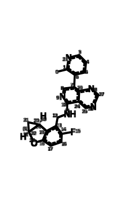 Cc1ncccc1-c1cnc(NCc2c(F)ccc3c2[C@@H]2C[C@@H]2O3)c2cncnc12